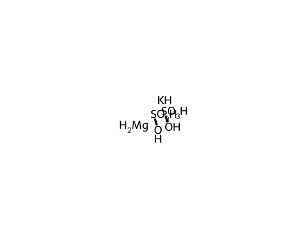 O=S(=O)(O)O.O=S(=O)(O)O.[KH].[MgH2]